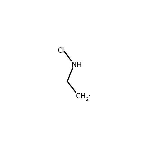 [CH2]CNCl